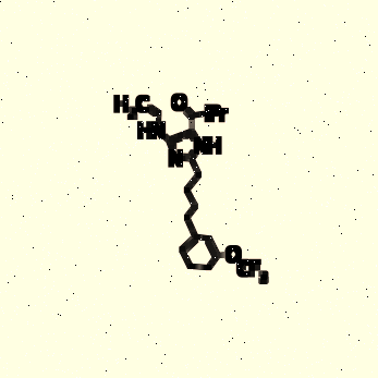 C=CNc1nc(CCCCC2=CCCC(OC(F)(F)F)=C2)[nH]c1C(=O)C(C)C